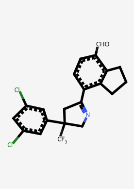 O=Cc1ccc(C2=NCC(c3cc(Cl)cc(Cl)c3)(C(F)(F)F)C2)c2c1CCC2